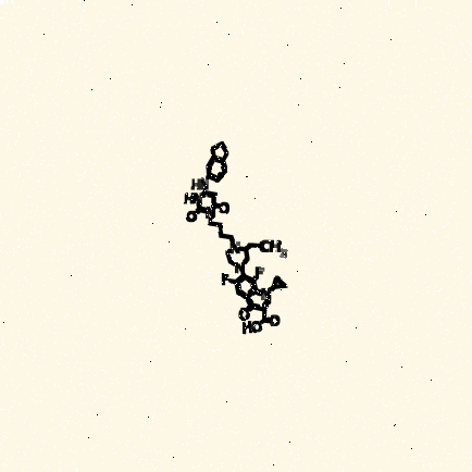 CCC1CN(c2c(F)cc3c(=O)c(C(=O)O)cn(C4CC4)c3c2F)CCN1CCCCn1c(=O)cc(Nc2ccc3c(c2)CCC3)[nH]c1=O